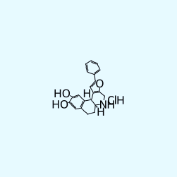 Cl.Oc1cc2c(cc1O)[C@H]1c3cc(-c4ccccc4)oc3CN[C@@H]1CC2